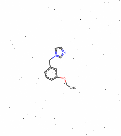 O=CCOc1cccc(Cn2ccnc2)c1